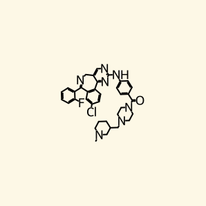 CN1CCCC(CN2CCN(C(=O)c3ccc(Nc4ncc5c(n4)-c4ccc(Cl)cc4C(c4ccccc4F)=NC5)cc3)CC2)C1